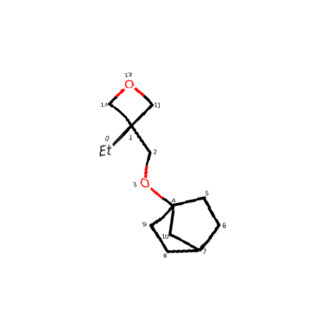 CCC1(COC23CCC(CC2)C3)COC1